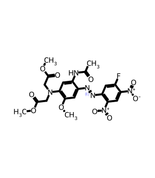 COC(=O)CN(CC(=O)OC)c1cc(NC(C)=O)c(/N=N/c2cc(F)c([N+](=O)[O-])cc2[N+](=O)[O-])cc1OC